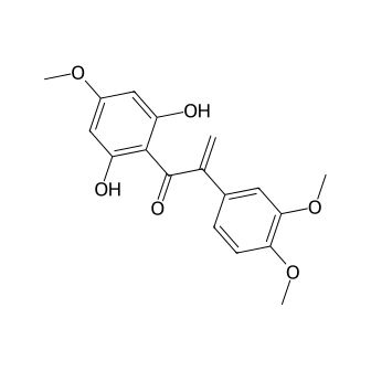 C=C(C(=O)c1c(O)cc(OC)cc1O)c1ccc(OC)c(OC)c1